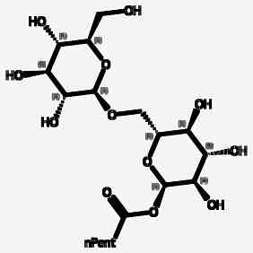 CCCCCC(=O)O[C@H]1O[C@H](CO[C@@H]2O[C@H](CO)[C@@H](O)[C@H](O)[C@H]2O)[C@@H](O)[C@H](O)[C@H]1O